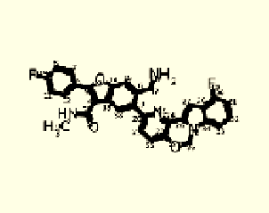 CNC(=O)c1c(-c2ccc(F)cc2)oc2cc(CN)c(-c3ccc4c(n3)-c3cc5c(F)cccc5n3CO4)cc12